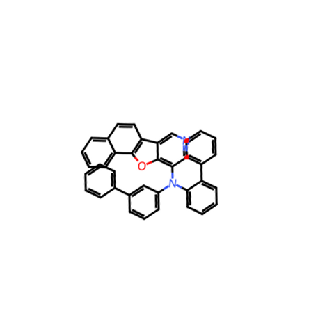 c1ccc(-c2cccc(N(c3ccccc3-c3ccccc3)c3cncc4c3oc3c5ccccc5ccc43)c2)cc1